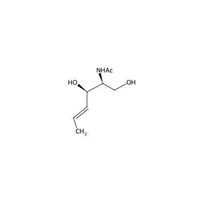 C/C=C/[C@@H](O)[C@H](CO)NC(C)=O